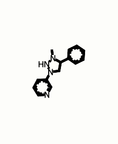 CN1NN(c2cccnc2)CC1c1ccccc1